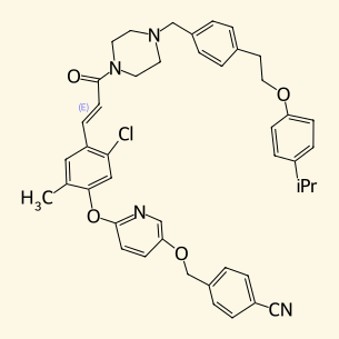 Cc1cc(/C=C/C(=O)N2CCN(Cc3ccc(CCOc4ccc(C(C)C)cc4)cc3)CC2)c(Cl)cc1Oc1ccc(OCc2ccc(C#N)cc2)cn1